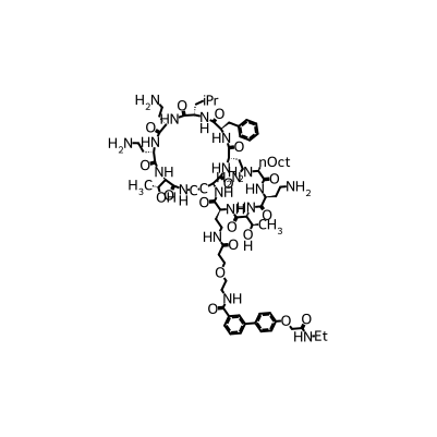 CCCCCCCC[C@H](N)C(=O)N[C@@H](CCN)C(=O)N[C@H](C(=O)N[C@@H](CCNC(=O)CCOCCNC(=O)c1cccc(-c2ccc(OCC(=O)NCC)cc2)c1)C(=O)N[C@H]1CCNC(=O)[C@H]([C@@H](C)O)NC(=O)[C@H](CCN)NC(=O)[C@H](CCN)NC(=O)[C@H](CC(C)C)NC(=O)[C@@H](Cc2ccccc2)NC(=O)[C@H](CCN)NC1=O)[C@@H](C)O